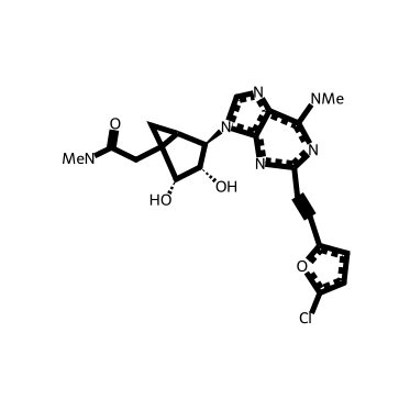 CNC(=O)CC12CC1[C@@H](n1cnc3c(NC)nc(C#Cc4ccc(Cl)o4)nc31)[C@H](O)[C@@H]2O